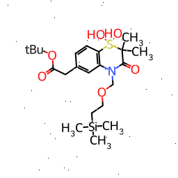 CC(C)(C)OC(=O)Cc1ccc2c(c1)N(COCC[Si](C)(C)C)C(=O)C(C)(C)S2(O)O